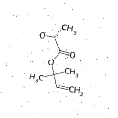 C=CC(C)(C)OC(=O)C(C)[O]